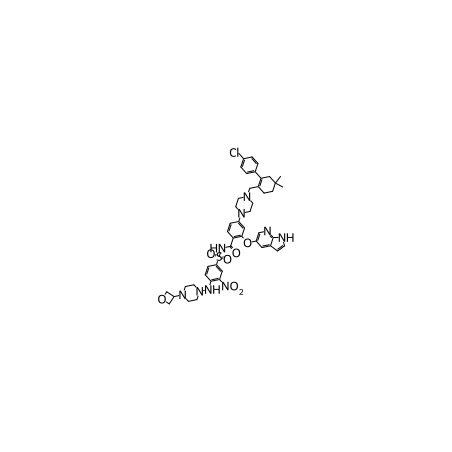 CC1(C)CCC(CN2CCN(c3ccc(C(=O)NS(=O)(=O)c4ccc(NN5CCN(C6COC6)CC5)c([N+](=O)[O-])c4)c(Oc4cnc5[nH]ccc5c4)c3)CC2)=C(c2ccc(Cl)cc2)C1